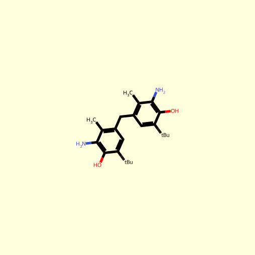 Cc1c(Cc2cc(C(C)(C)C)c(O)c(N)c2C)cc(C(C)(C)C)c(O)c1N